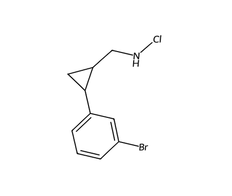 ClNCC1CC1c1cccc(Br)c1